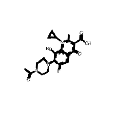 CC(=O)N1CCN(c2c(F)cc3c(=O)c(C(=O)O)c(C)n(C4CC4)c3c2Br)CC1